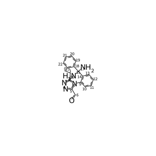 CCc1nnc(C=O)n1-c1ccccc1C(N)(N)c1ccccc1